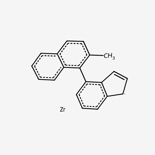 Cc1ccc2ccccc2c1-c1cccc2c1C=C[CH]2.[Zr]